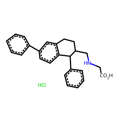 Cl.O=C(O)CNCC1CCc2cc(-c3ccccc3)ccc2C1c1ccccc1